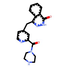 O=C(c1cc(Cc2n[nH]c(=O)c3ccccc23)ccn1)N1CCNCC1